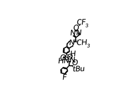 C[C@H](c1cnc(OCC(F)(F)F)nc1)N1CCc2ccc(S(=O)(=O)NC3NOC(C(C)(C)C)C3c3cccc(F)c3)cc2C1